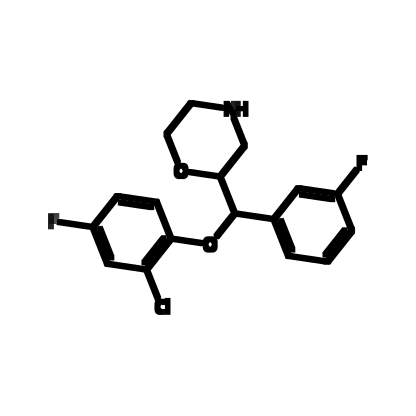 Fc1cccc(C(Oc2ccc(F)cc2Cl)C2CNCCO2)c1